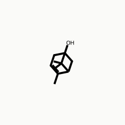 CC1=CCC2(O)CC1C2(C)C